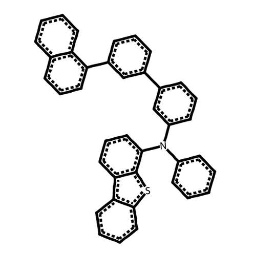 c1ccc(N(c2cccc(-c3cccc(-c4cccc5ccccc45)c3)c2)c2cccc3c2sc2ccccc23)cc1